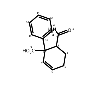 NC(=O)C1CCC=CC1(C(=O)O)c1ccccc1